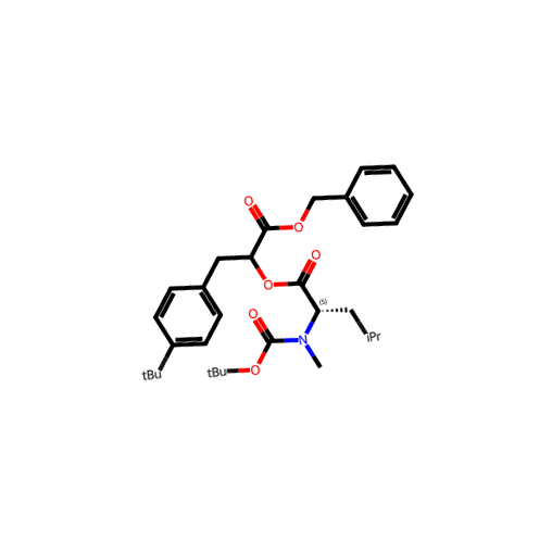 CC(C)C[C@@H](C(=O)OC(Cc1ccc(C(C)(C)C)cc1)C(=O)OCc1ccccc1)N(C)C(=O)OC(C)(C)C